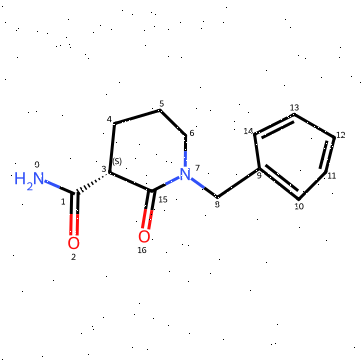 NC(=O)[C@@H]1CCCN(Cc2ccccc2)C1=O